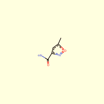 Cc1cc(C([NH])=O)no1